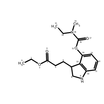 CCOC(=O)CCC1CNc2cccc(OC(=O)N(C)CC)c21